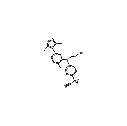 Cc1ccc(-c2c(C)noc2C)cc1N(CCO)c1ccc(C2(C#N)CC2)cc1